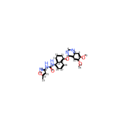 COc1cc2ncnc(Oc3cccc4c(NC(=O)Nc5cc(C)on5)cccc34)c2cc1OC